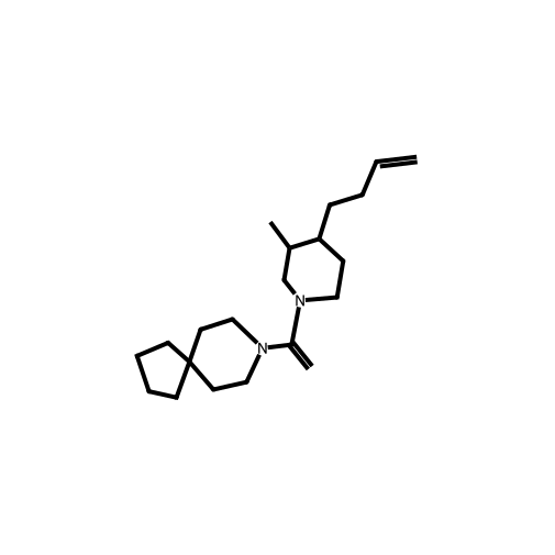 C=CCCC1CCN(C(=C)N2CCC3(CCCC3)CC2)CC1C